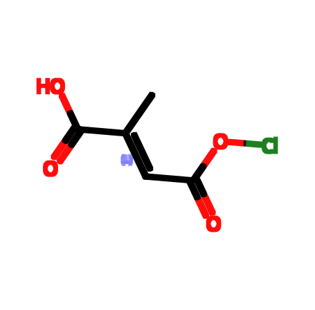 C/C(=C\C(=O)OCl)C(=O)O